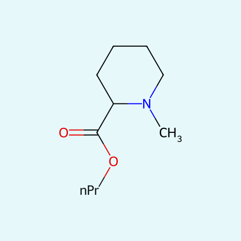 CCCOC(=O)C1CCCCN1C